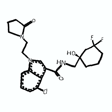 O=C(NC[C@@]1(O)CCCC(F)(F)C1)c1cn(CCN2CCCC2=O)c2cccc(Cl)c12